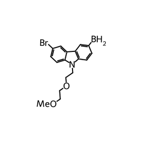 Bc1ccc2c(c1)c1cc(Br)ccc1n2CCOCCOC